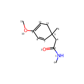 CNC(=O)CC1(C)C=CC(OC)=CC1